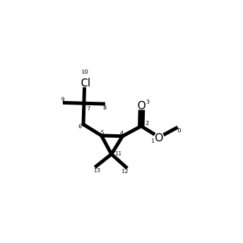 COC(=O)C1C(CC(C)(C)Cl)C1(C)C